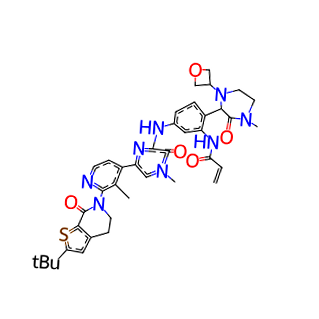 C=CC(=O)Nc1cc(Nc2nc(-c3ccnc(N4CCc5cc(C(C)(C)C)sc5C4=O)c3C)cn(C)c2=O)ccc1C1C(=O)N(C)CCN1C1COC1